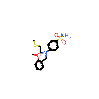 COc1ccccc1CN(CCSC)c1ccc(S(N)(=O)=O)cc1